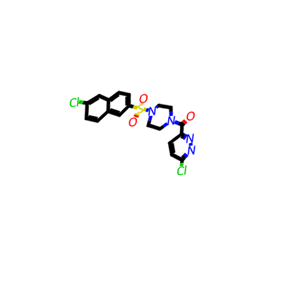 O=C(c1ccc(Cl)nn1)N1CCN(S(=O)(=O)c2ccc3cc(Cl)ccc3c2)CC1